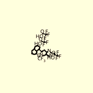 FC(F)(F)Oc1cccc2cccc(-c3cc4ncncc4cn3)c12.O=C(O)C(F)(F)F.O=C(O)C(F)(F)F.O=C(O)C(F)(F)F